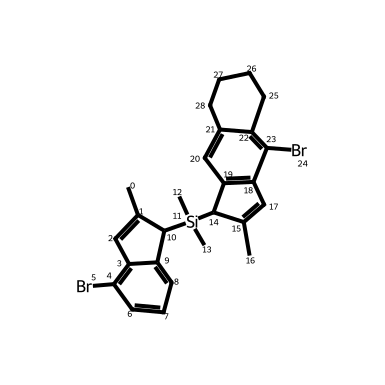 CC1=Cc2c(Br)cccc2C1[Si](C)(C)C1C(C)=Cc2c1cc1c(c2Br)CCCC1